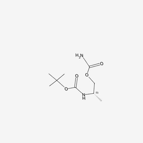 C[C@@H](COC(N)=O)NC(=O)OC(C)(C)C